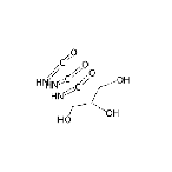 N=C=O.N=C=O.N=C=O.OCC(O)CO